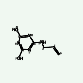 C=CCNc1nc(O)nc(O)n1